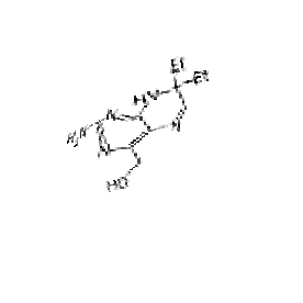 CCC1(CC)C=Nc2c(CO)nc(N)nc2N1